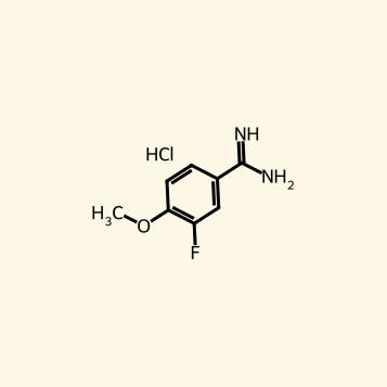 COc1ccc(C(=N)N)cc1F.Cl